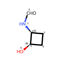 O=CN[C@H]1CC[C@H]1O